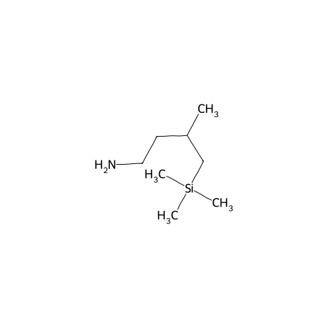 CC(CCN)C[Si](C)(C)C